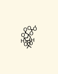 COC(=O)O[C@@]12C[C@@H](OC1=O)[C@@H]1OC(C)(C)O[C@@H]1C2